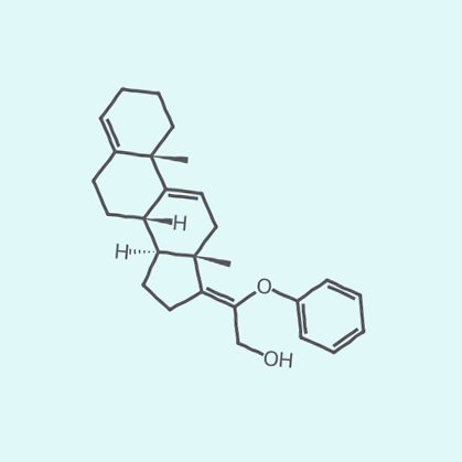 C[C@]12CCCC=C1CC[C@@H]1C2=CC[C@]2(C)C(=C(CO)Oc3ccccc3)CC[C@@H]12